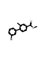 COC(=O)c1ccc(-c2cccc(Br)c2)c(C)c1